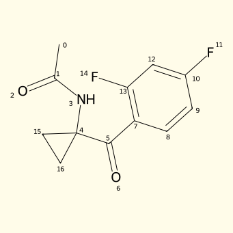 CC(=O)NC1(C(=O)c2ccc(F)cc2F)CC1